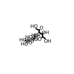 O=C(CO)[C@@H](O)[C@@H](O)[C@H](O)CO.O=P(O)(O)O.O=P(O)(O)O